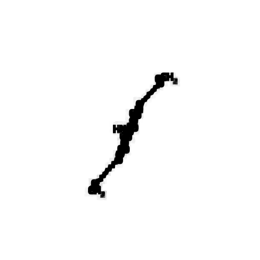 C=CC(=O)OCCCCCCCCCCCCCCOc1ccc(OC(=O)[C@H]2CC[C@@H](C(=O)Oc3ccc(OC(=O)[C@H]4CC[C@H](C(=O)Oc5ccc(OCCCCCCCCCCCCOC(=O)C=C)cc5)CC4)c(C=N)c3)CC2)cc1